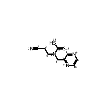 N#CCCN(Cc1cnccn1)C(=S)S